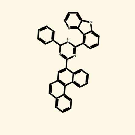 c1ccc(C2N=C(c3cc4ccc5ccccc5c4c4ccccc34)N=C(c3cccc4oc5cccnc5c34)N2)cc1